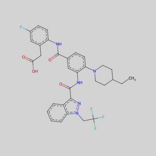 CCC1CCN(c2ccc(C(=O)Nc3ccc(F)cc3CC(=O)O)cc2NC(=O)c2nn(CC(F)(F)F)c3ccccc23)CC1